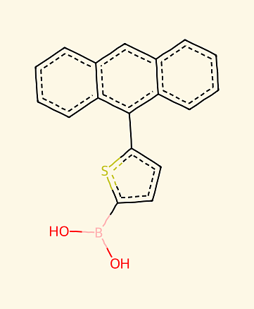 OB(O)c1ccc(-c2c3ccccc3cc3ccccc23)s1